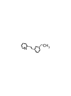 CCc1cccc(C=Cc2ccccn2)c1